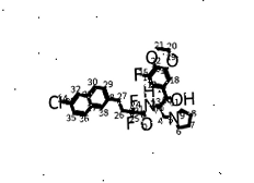 O=C(N[C@H](CN1CCCC1)[C@H](O)c1cc(F)c2c(c1)OCCO2)C(F)(F)CCc1ccc2cc(Cl)ccc2c1